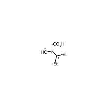 CCC(CC)[C@H](O)C(=O)O